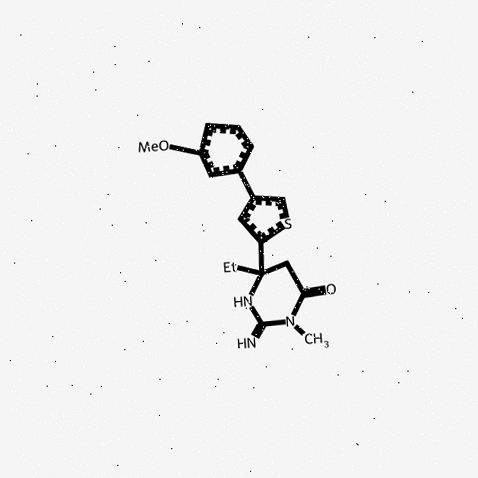 CCC1(c2cc(-c3cccc(OC)c3)cs2)CC(=O)N(C)C(=N)N1